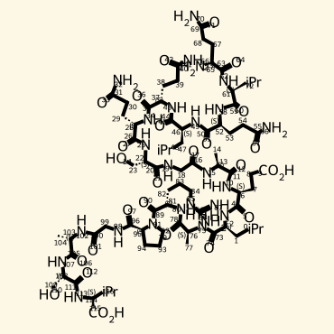 CC(C)C[C@H](NC(=O)[C@H](CCC(=O)O)NC(=O)[C@H](C)NC(=O)CNC(=O)[C@H](CO)NC(=O)[C@H](CCC(N)=O)NC(=O)[C@H](CCC(N)=O)NC(=O)[C@H](CC(C)C)NC(=O)[C@H](CCC(N)=O)NC(=O)[C@@H](NC(=O)[C@@H](N)CCC(N)=O)C(C)C)C(=O)N[C@@H](C)C(=O)N[C@@H](CCCNC(=N)N)C(=O)N1CCC[C@H]1C(=O)NCC(=O)N[C@@H](C)C(=O)N[C@@H](CO)C(=O)N[C@H](C(=O)O)C(C)C